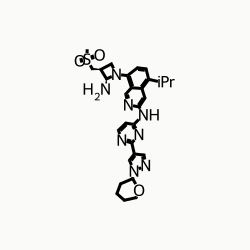 CC(C)c1ccc(N2C[C@H](CS(C)(=O)=O)[C@H]2N)c2cnc(Nc3ccnc(-c4cnn(C5CCCCO5)c4)n3)cc12